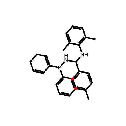 Cc1ccc(C(Nc2c(C)cccc2C)NP(C2=CCCC=C2)c2ccccc2)cc1